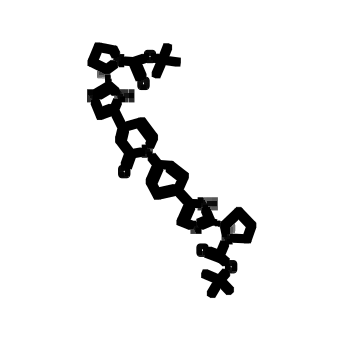 CC(C)(C)OC(=O)N1CCC[C@H]1c1ncc(-c2ccc(-n3ccc(-c4cnc([C@@H]5CCCN5C(=O)OC(C)(C)C)[nH]4)cc3=O)cc2)[nH]1